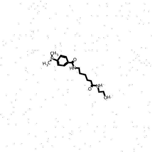 CN(C)c1ccc(C(=O)NCCCCCC(=O)NCCO)cc1